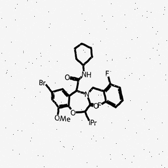 COc1cc(Br)cc2c1OC(C(C)C)C(=O)N(Cc1c(F)cccc1F)C2C(=O)NC1CCCCC1